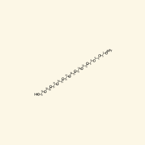 CCCOCCOCCOCCOCCOCCOCCOCCOCCOCCOCCOCCO